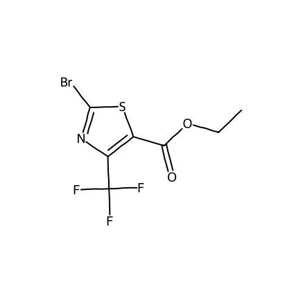 CCOC(=O)c1sc(Br)nc1C(F)(F)F